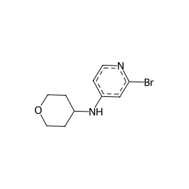 Brc1cc(NC2CCOCC2)ccn1